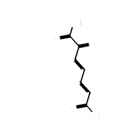 O=C(O)C=CC=CC(=O)C(=O)O